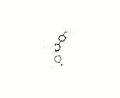 COC(=O)[C@H]1CC[C@H](Nc2ccc(-c3ccc(C(=N)N)cc3)cn2)CC1.Cl